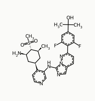 C[C@H]1C[C@@H](c2ccncc2Nc2ncc3ccc(-c4c(F)cc(C(C)(C)O)cc4F)nn23)C[C@@H](N)[C@@H]1S(C)(=O)=O